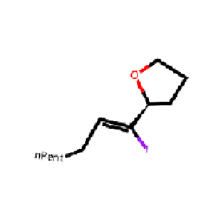 CCCCCC/C=C(\I)[C@@H]1CCCO1